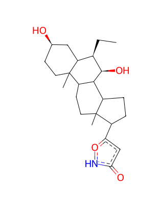 CC[C@@H]1C2C[C@H](O)CCC2(C)C2CCC3(C)C(c4cc(=O)[nH]o4)CCC3C2[C@@H]1O